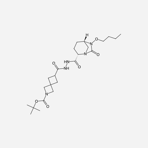 CCCCON1C(=O)N2C[C@@H]1CC[C@H]2C(=O)NNC(=O)C1CC2(C1)CN(C(=O)OC(C)(C)C)C2